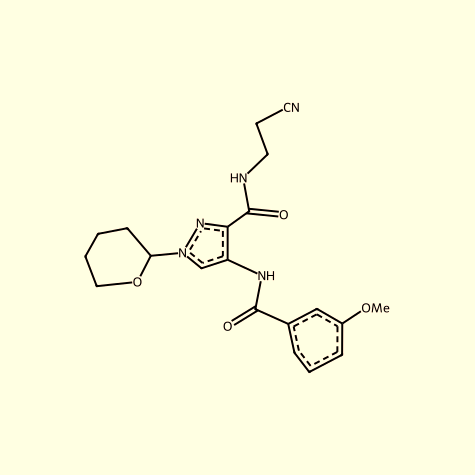 COc1cccc(C(=O)Nc2cn(C3CCCCO3)nc2C(=O)NCCC#N)c1